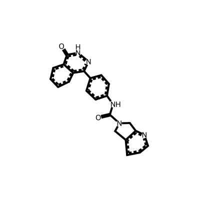 O=C(Nc1ccc(-c2n[nH]c(=O)c3ccccc23)cc1)N1Cc2cccnc2C1